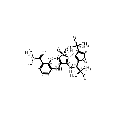 CN(C)C(=O)c1cccc(NC2=NS(=O)(=O)N=C2N[C@@H](c2cc(C(C)(C)C)co2)C(C)(C)C)c1O